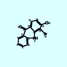 O=c1c2ccccc2[nH]c2c(Br)c(Cl)ccc12